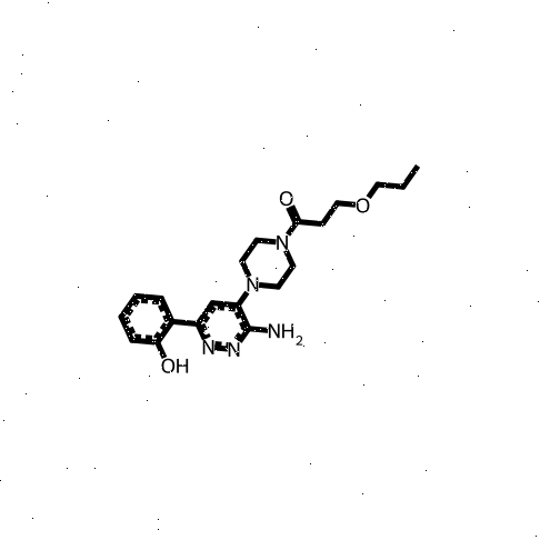 CCCOCCC(=O)N1CCN(c2cc(-c3ccccc3O)nnc2N)CC1